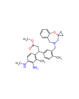 CNc1ccc(C(CC(=O)OC)c2ccc(C)c(CN3Cc4ccccc4OC4(CC4)C3)c2)c(C)c1N